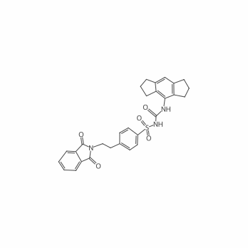 O=C(Nc1c2c(cc3c1CCC3)CCC2)NS(=O)(=O)c1ccc(CCN2C(=O)c3ccccc3C2=O)cc1